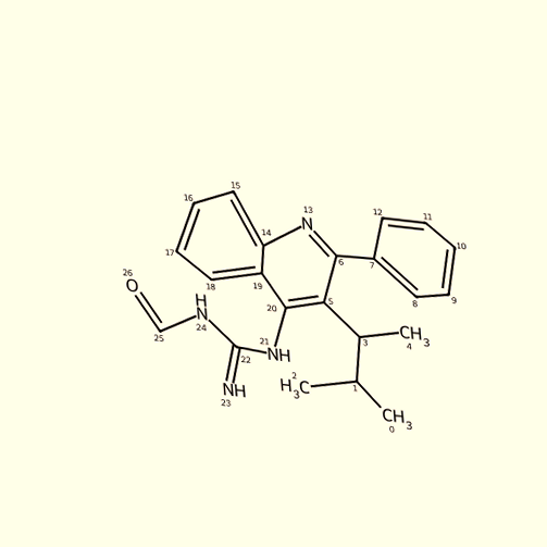 CC(C)C(C)c1c(-c2ccccc2)nc2ccccc2c1NC(=N)NC=O